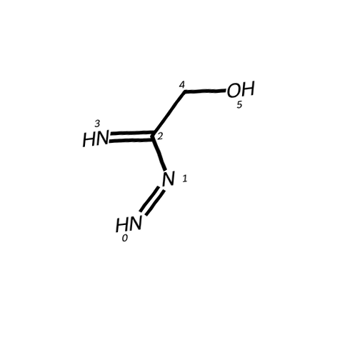 N=NC(=N)CO